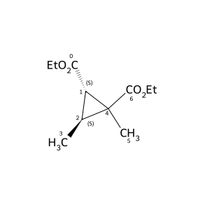 CCOC(=O)[C@H]1[C@H](C)C1(C)C(=O)OCC